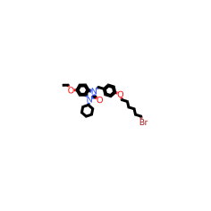 CCOc1ccc2c(c1)n(C1CCCCC1)c(=O)n2Cc1ccc(OCCCCCCBr)cc1